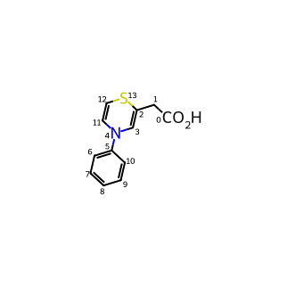 O=C(O)CC1=CN(c2ccccc2)C=CS1